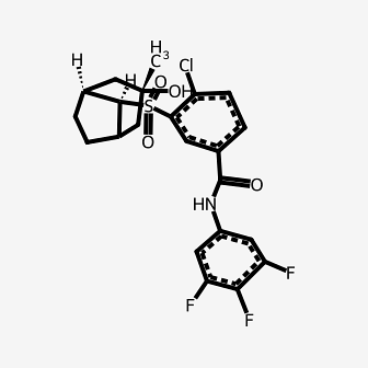 C[C@@]1(O)CC2CC[C@@H](C1)[C@H]2S(=O)(=O)c1cc(C(=O)Nc2cc(F)c(F)c(F)c2)ccc1Cl